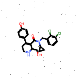 O=C(C1=C(c2ccc(O)cc2)CCNC1CO)N(Cc1cccc(Cl)c1Cl)C1CC1